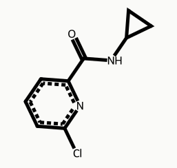 O=C(NC1CC1)c1cccc(Cl)n1